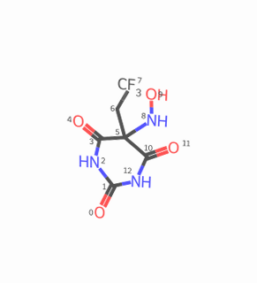 O=C1NC(=O)C(CC(F)(F)F)(NO)C(=O)N1